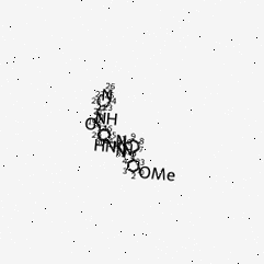 COc1cccc(-c2cccc3nc(Nc4ccc(C(=O)NCC5CCN(C)CC5)cc4)nn23)c1